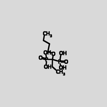 CCCCOC(CC)(P(=O)(O)O)P(=O)(O)O